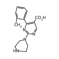 Cc1ccccc1-c1nc(N2CCNCC2)ncc1C(=O)O